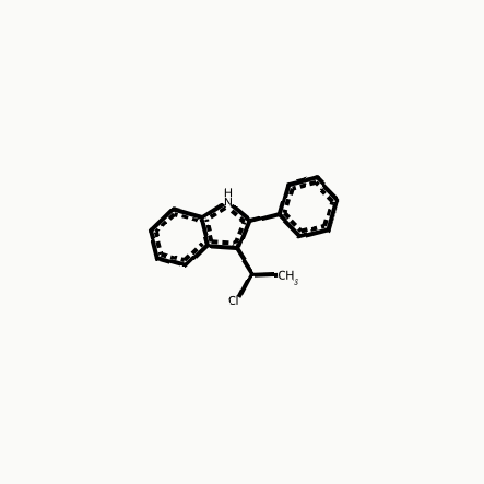 CC(Cl)c1c(-c2ccccc2)[nH]c2ccccc12